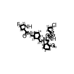 COc1cccc2c1c(NS(=O)(=O)c1ccc(Cl)s1)nn2Cc1cccc(CNC(=O)C2C[C@@H](F)CN2)c1